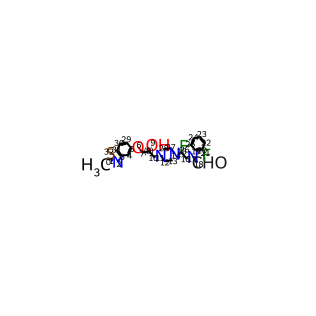 Cc1nc2cc(OC[C@H](O)CN3CCN(CCN(C=O)c4c(F)cccc4F)CC3)ccc2s1